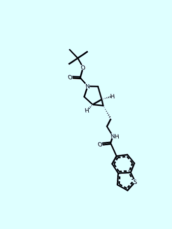 CC(C)(C)OC(=O)N1C[C@@H]2[C@@H](CCNC(=O)c3ccc4sccc4c3)[C@@H]2C1